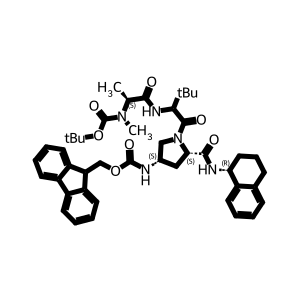 C[C@@H](C(=O)NC(C(=O)N1C[C@@H](NC(=O)OCC2c3ccccc3-c3ccccc32)C[C@H]1C(=O)N[C@@H]1CCCc2ccccc21)C(C)(C)C)N(C)C(=O)OC(C)(C)C